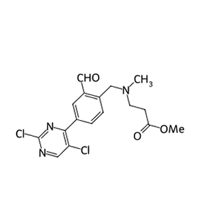 COC(=O)CCN(C)Cc1ccc(-c2nc(Cl)ncc2Cl)cc1C=O